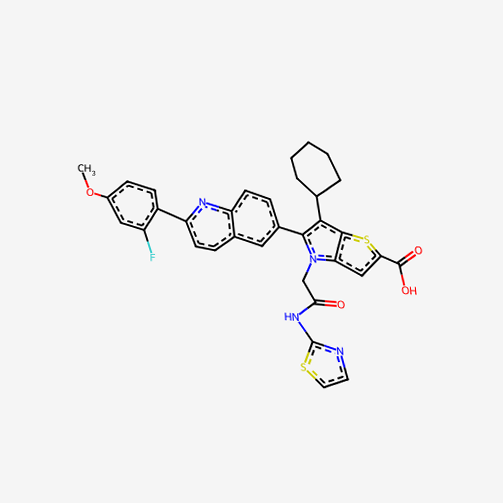 COc1ccc(-c2ccc3cc(-c4c(C5CCCCC5)c5sc(C(=O)O)cc5n4CC(=O)Nc4nccs4)ccc3n2)c(F)c1